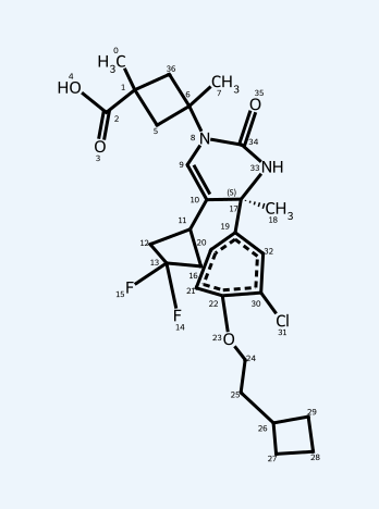 CC1(C(=O)O)CC(C)(N2C=C(C3CC(F)(F)C3)[C@](C)(c3ccc(OCCC4CCC4)c(Cl)c3)NC2=O)C1